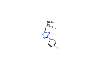 CN[C@@H](C)Cn1nnc(-c2ccc(F)cc2)n1